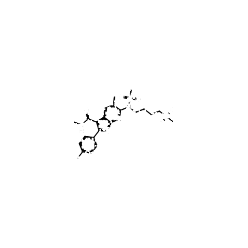 CNC(=O)c1c(-c2ccc(C)cc2)oc2nc(N(CCCCS(C)(=O)=O)S(C)(=O)=O)c(C)cc12